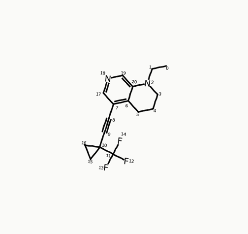 CCN1CCCc2c(C#CC3(C(F)(F)F)CC3)cncc21